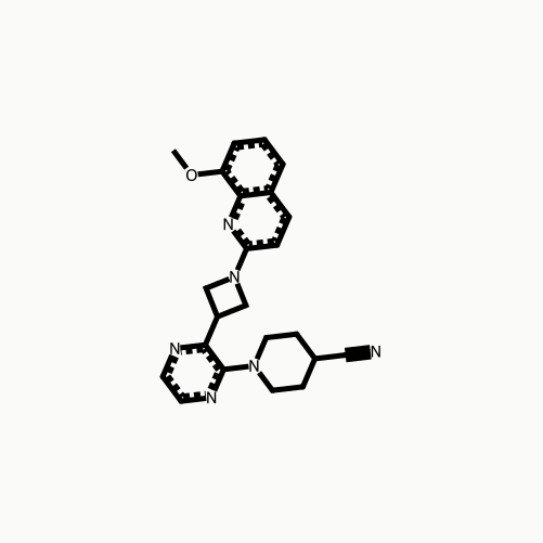 COc1cccc2ccc(N3CC(c4nccnc4N4CCC(C#N)CC4)C3)nc12